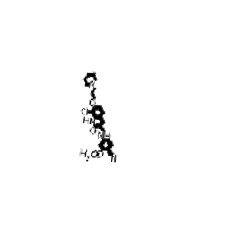 COc1cc(NCc2cc3ccc(OCCCN4CCCCC4)c(Cl)c3[nH]c2=O)ccc1C#N